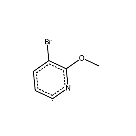 COc1n[c]ccc1Br